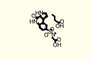 CCCC(=O)O.CN(CC(=O)O)S(=O)(=O)c1ccc2[nH]c(=O)c3[nH]ccc3c2c1